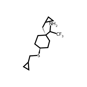 NC(C(F)(F)F)[C@]1(CC2CC2)CC[C@H](SCC2CC2)CC1